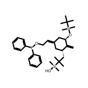 C=C1[C@H](CC(C)(C)[Si](C)(C)O)C/C(=C\COP(c2ccccc2)c2ccccc2)C[C@H]1O[Si](C)(C)C(C)(C)C